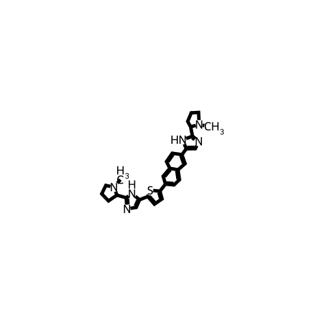 CN1CCCC1c1ncc(-c2ccc3cc(-c4ccc(-c5cnc(C6CCCN6C)[nH]5)s4)ccc3c2)[nH]1